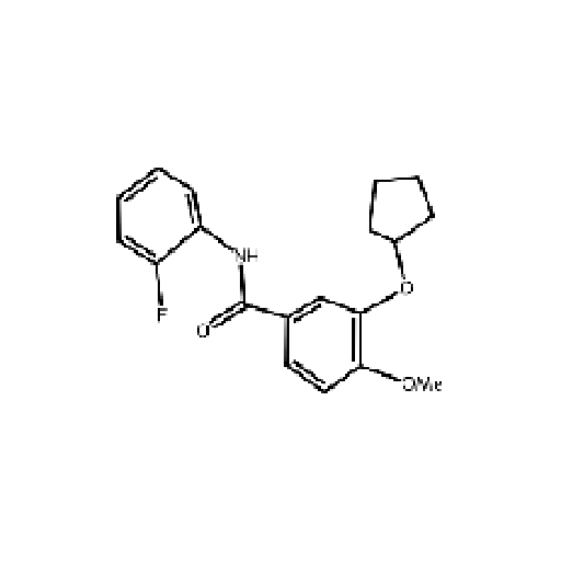 COc1ccc(C(=O)Nc2ccccc2F)cc1OC1CCCC1